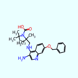 CC(C)(C)N(C(=O)O)C(C)(C)CNc1c(N)cnc2cc(OCc3ccccc3)ccc12